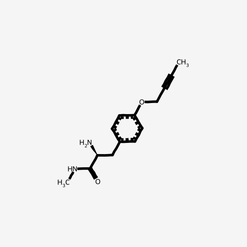 CC#CCOc1ccc(C[C@H](N)C(=O)NC)cc1